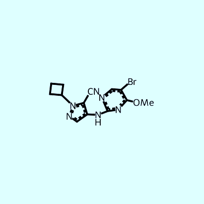 COc1nc(Nc2cnn(C3CCC3)c2C#N)ncc1Br